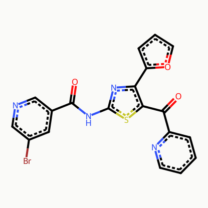 O=C(Nc1nc(-c2ccco2)c(C(=O)c2ccccn2)s1)c1cncc(Br)c1